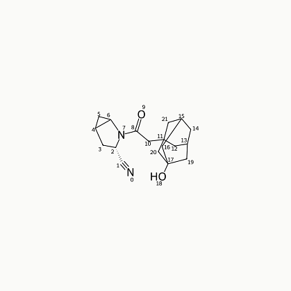 N#C[C@@H]1CC2CC2N1C(=O)CC12CC3CC(CC(O)(C3)C1)C2